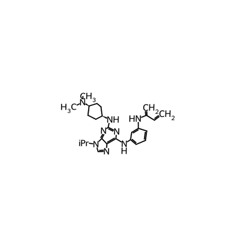 C=CC(=C)Nc1cccc(Nc2nc(N[C@H]3CC[C@@H](N(C)C)CC3)nc3c2ncn3C(C)C)c1